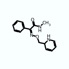 CNC(=O)C(=NOCC1C=CC=[C]N1)c1ccccc1